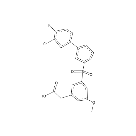 COc1cc(CC(=O)O)cc(S(=O)(=O)c2cccc(-c3ccc(F)c(Cl)c3)c2)c1